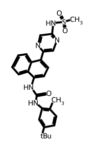 Cc1ccc(C(C)(C)C)cc1NC(=O)Nc1ccc(-c2cnc(NS(C)(=O)=O)cn2)c2ccccc12